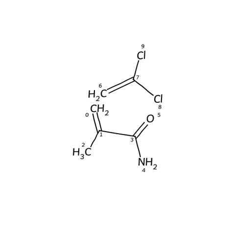 C=C(C)C(N)=O.C=C(Cl)Cl